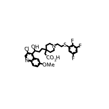 COc1ccc2ncc(Cl)c(C(O)CCC3(CC(=O)O)CCN(CCSc4cc(F)cc(F)c4F)CC3)c2c1